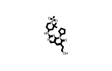 CC1(C)CC(Nc2ncc3cc(CCO)c(=O)n(C4CCCC4)c3n2)CCN1S(C)(=O)=O